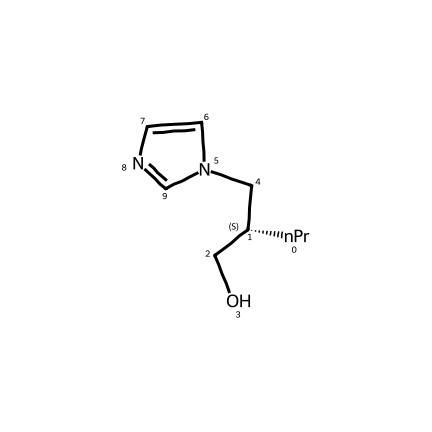 CCC[C@H](CO)Cn1ccnc1